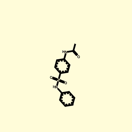 CC(=O)Nc1ccc(S(=O)(=O)Nc2cc[c]cc2)cc1